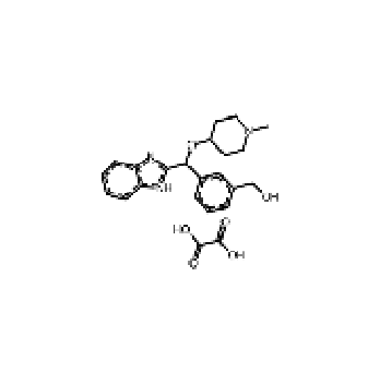 CN1CCC(OC(c2cccc(CO)c2)c2nc3ccccc3[nH]2)CC1.O=C(O)C(=O)O